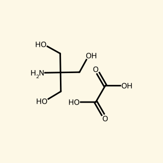 NC(CO)(CO)CO.O=C(O)C(=O)O